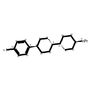 CCC[C@H]1CC[C@H]([C@H]2CC[C@H](c3ccc(I)cc3)CC2)CC1